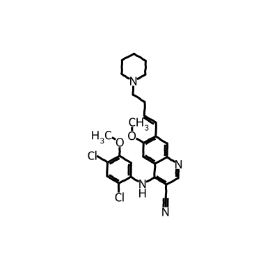 COc1cc(Nc2c(C#N)cnc3cc(/C=C/CCN4CCCCC4)c(OC)cc23)c(Cl)cc1Cl